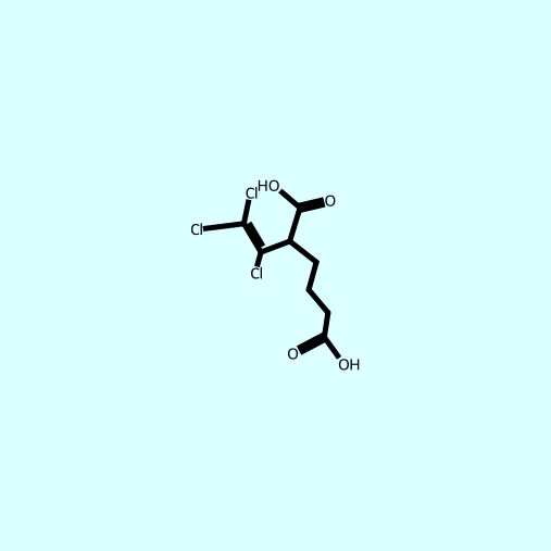 O=C(O)CCCC(C(=O)O)C(Cl)=C(Cl)Cl